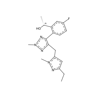 CCc1cc(Cc2nn(C)nc2-c2ccc(F)cc2[C@@H](C)O)n(C)n1